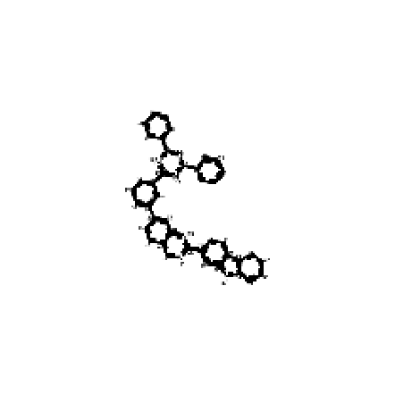 c1ccc(-c2nc(-c3ccccc3)nc(-c3cccc(-c4ccc5cnc(-c6ccc7c(c6)sc6ccccc67)nc5c4)c3)n2)cc1